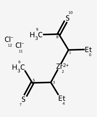 CC[CH]([Zr+2][CH](CC)C(C)=S)C(C)=S.[Cl-].[Cl-]